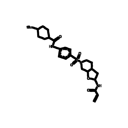 C=CC(=O)NC1CC2CCN(S(=O)(=O)c3ccc(NC(=O)C4CCC(C(C)(C)C)CC4)cc3)CC2O1